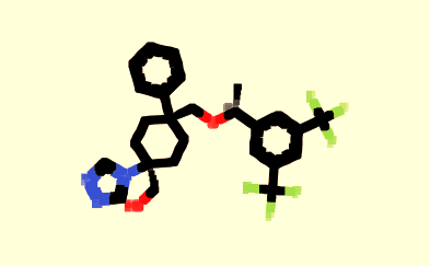 C[C@@H](OC[C@]1(c2ccccc2)CC[C@](CO)(n2cnnc2)CC1)c1cc(C(F)(F)F)cc(C(F)(F)F)c1